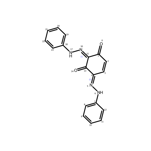 O=c1cc/c(=N\Nc2ccccc2)c(=O)/c1=N\Nc1ccccc1